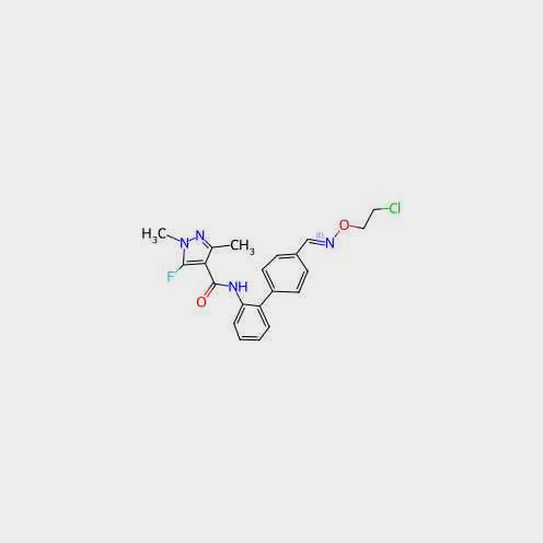 Cc1nn(C)c(F)c1C(=O)Nc1ccccc1-c1ccc(/C=N/OCCCl)cc1